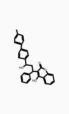 Cc1ccc(-c2ccc(C(O)CC(c3ccccc3)c3c(O)c4ccccc4oc3=O)cc2)cc1